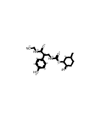 CC1CCC(C(C)C)C(OC(=O)NCC(C(=O)NCC#N)c2ccc(O)cc2)C1